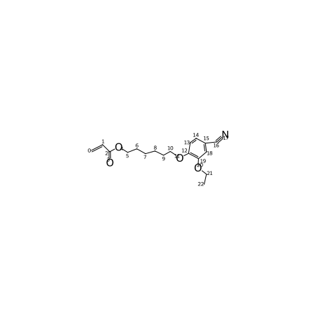 C=CC(=O)OCCCCCCOc1ccc(C#N)cc1OCC